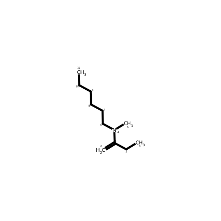 C=C(CC)N(C)CCCCCC